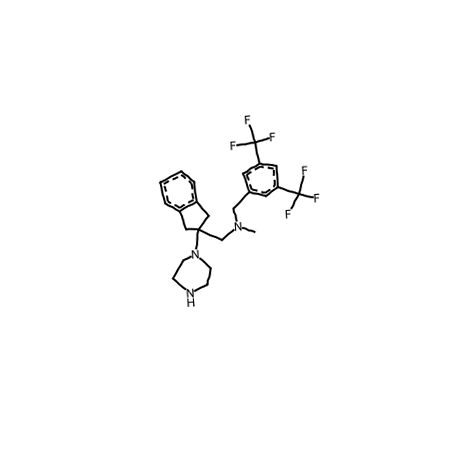 CN(Cc1cc(C(F)(F)F)cc(C(F)(F)F)c1)CC1(N2CCNCC2)Cc2ccccc2C1